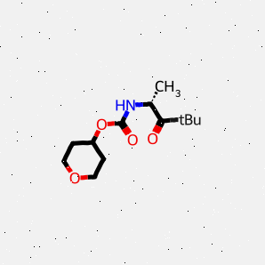 C[C@@H](NC(=O)OC1CCOCC1)C(=O)C(C)(C)C